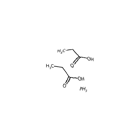 CCC(=O)O.CCC(=O)O.P